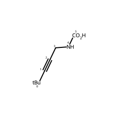 CC(C)(C)C#CCNC(=O)O